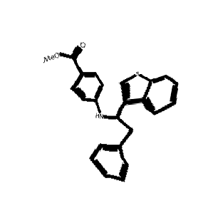 COC(=O)c1ccc(NC(Cc2ccccc2)c2csc3ccccc23)cc1